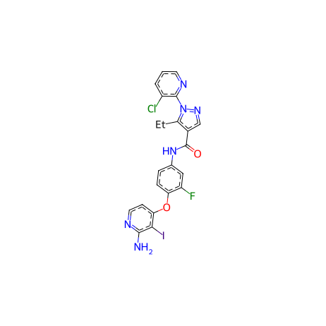 CCc1c(C(=O)Nc2ccc(Oc3ccnc(N)c3I)c(F)c2)cnn1-c1ncccc1Cl